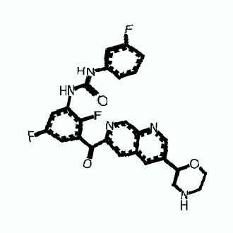 O=C(Nc1cccc(F)c1)Nc1cc(F)cc(C(=O)c2cc3cc(C4CNCCO4)cnc3cn2)c1F